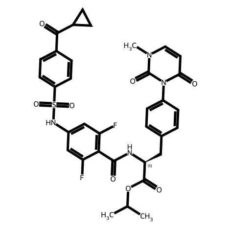 CC(C)OC(=O)[C@H](Cc1ccc(-n2c(=O)ccn(C)c2=O)cc1)NC(=O)c1c(F)cc(NS(=O)(=O)c2ccc(C(=O)C3CC3)cc2)cc1F